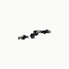 CCCCOCCCCOc1ccc(-c2ccc(OCCCCOCCCC)nn2)cn1